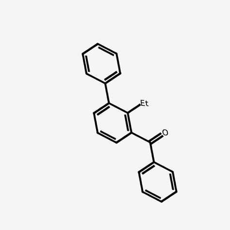 CCc1c(C(=O)c2ccccc2)cccc1-c1ccccc1